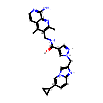 Cc1nc2c(N)nccc2c(C)c1CNC(=O)c1cnn(Cc2cn3cc(C4CC4)ccc3n2)c1